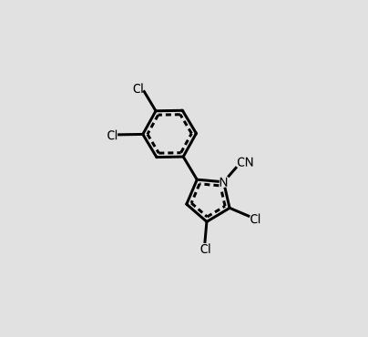 N#Cn1c(-c2ccc(Cl)c(Cl)c2)cc(Cl)c1Cl